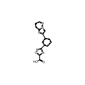 O=C(O)c1nc(-c2cccc(-c3cn4ncccc4n3)c2)no1